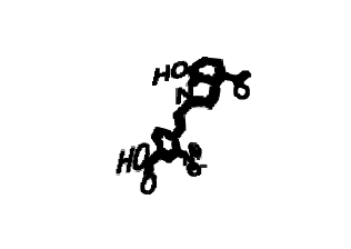 CC(=O)c1ccc(O)c2nc(/C=C/c3ccc(C(=O)O)cc3[N+](=O)[O-])ccc12